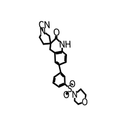 N#CN1CCC2(Cc3cc(-c4cccc(S(=O)(=O)N5CCOCC5)c4)ccc3NC2=O)C1